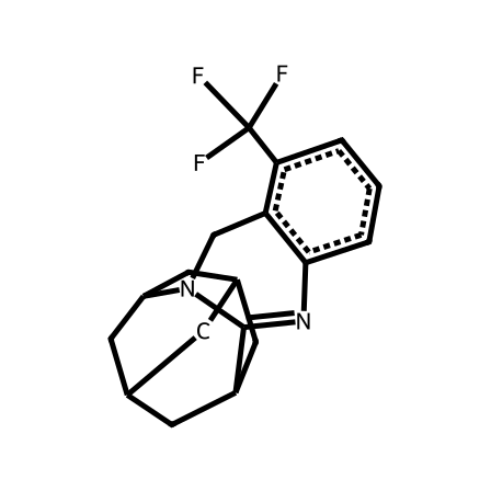 FC(F)(F)c1cccc2c1CN1C(=N2)C2CC3CC(C2)CC1C3